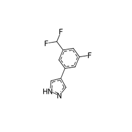 Fc1cc(-c2cn[nH]c2)cc(C(F)F)c1